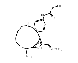 C/N=C/c1[nH]c2nc1-c1ccc(NC(=O)OC)cc1NCCCCC[C@@H]2N